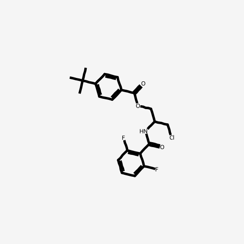 CC(C)(C)c1ccc(C(=O)OCC(CCl)NC(=O)c2c(F)cccc2F)cc1